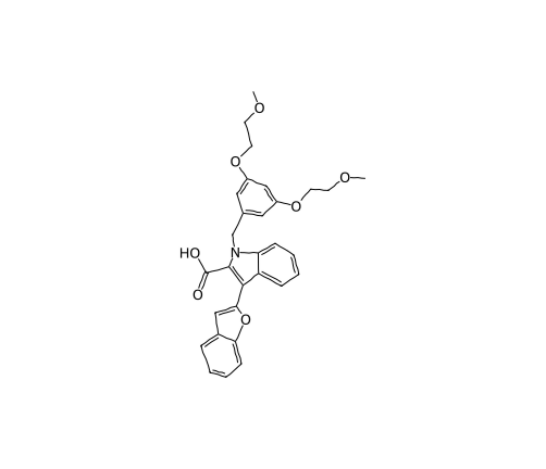 COCCOc1cc(Cn2c(C(=O)O)c(-c3cc4ccccc4o3)c3ccccc32)cc(OCCOC)c1